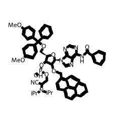 COc1ccc(C(OC[C@H]2O[C@@H](n3cnc4c(NC(=O)c5ccccc5)ncnc43)C(OCc3ccc4ccc5cccc6ccc3c4c56)C2O[PH](=O)OCC(C#N)N(C(C)C)C(C)C)(c2ccccc2)c2ccc(OC)cc2)cc1